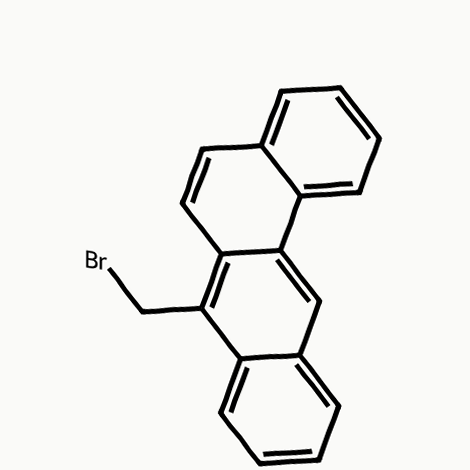 BrCc1c2ccccc2cc2c1ccc1ccccc12